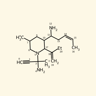 C#CC(C)(N)N1CC(C)CC(C(N)C/C=C\C)C1C(=C)CC